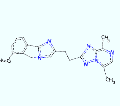 COc1cccc2c1Cn1cc(CCc3nc4c(C)ncc(C)n4n3)nc1-2